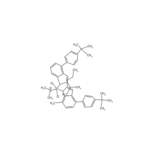 CCCC1=Cc2c(-c3ccc(C(C)(C)C)cc3)ccc(C)c2[CH]1[Zr]([Cl])([Cl])([CH]1C(C(C)C)=Cc2c(-c3ccc(C(C)(C)C)cc3)cccc21)[SiH](C)C